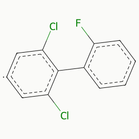 Fc1ccccc1-c1c(Cl)c[c]cc1Cl